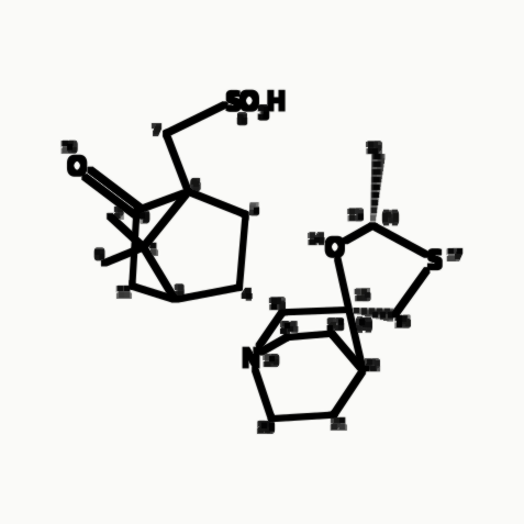 CC1(C)C2CCC1(CS(=O)(=O)O)C(=O)C2.C[C@H]1O[C@]2(CS1)CN1CCC2CC1